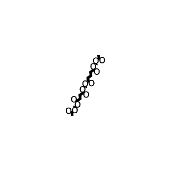 CC(=O)OCOC(=O)CCCC(=O)OCOC(=O)CCC(=O)OCOC(C)=O